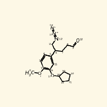 COc1ccc(C(CCC=O)CN=[N+]=[N-])cc1OC1CCCC1